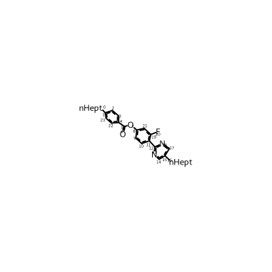 CCCCCCCc1ccc(C(=O)Oc2ccc(-c3ncc(CCCCCCC)cn3)c(F)c2)cc1